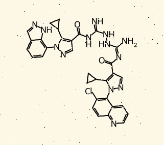 N=C(NNC(N)=NC(=O)c1cnn(-c2c(Cl)ccc3ncccc23)c1C1CC1)NC(=O)c1cnn(-c2cccc3cn[nH]c23)c1C1CC1